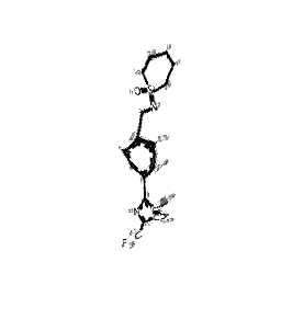 O=S1(=NCc2ccc(-c3noc(C(F)(F)F)n3)cc2)CCCCC1